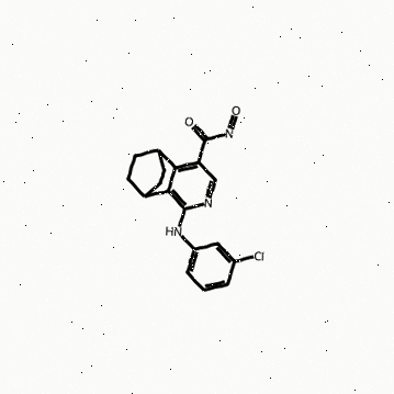 O=NC(=O)c1cnc(Nc2cccc(Cl)c2)c2c1C1CCC2CC1